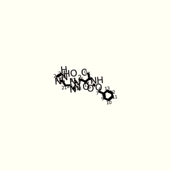 O=C(O)CC(NC(=O)OCc1ccccc1)C(=O)Cn1nnc(Cc2ncc[nH]2)n1